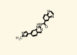 Cn1cc(-c2ccc3cnc(NC(=O)c4ccc5nccnc5c4)nc3c2)cn1